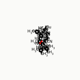 Cc1cc(C)c(Nc2cc(C)c(N=Nc3c(C#N)c(C(C)(C)C)nn3-c3nnc(-n4cc(C#N)c(N=Nc5c(Nc6c(C)cc(C)cc6C)nc(Nc6c(C)cc(C)cc6C)c(C#N)c5C)n4)s3)c(Nc3c(C)cc(C)cc3C)n2)c(C)c1